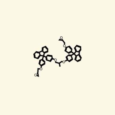 CC(COc1ccc(C2(c3ccc(OCC4CO4)cc3)c3ccccc3-c3ccccc32)cc1)COc1ccc(C2(c3ccc(OCC4CO4)cc3)c3ccccc3-c3ccccc32)cc1